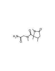 CC1CC(=O)N(C)C1(C)C(=O)N(C)CC(N)=O